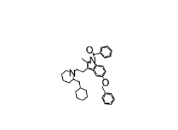 Cc1c(CCN2CCCCC2CC2CCCCC2)c2cc(OCc3ccccc3)ccc2n1C(=O)c1ccccc1